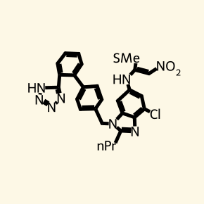 CCCc1nc2c(Cl)cc(NC(=C[N+](=O)[O-])SC)cc2n1Cc1ccc(-c2ccccc2-c2nnn[nH]2)cc1